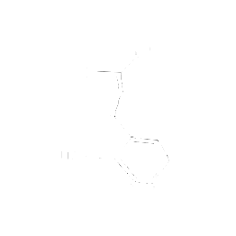 CC(C)=CCc1ccccc1C(=O)O